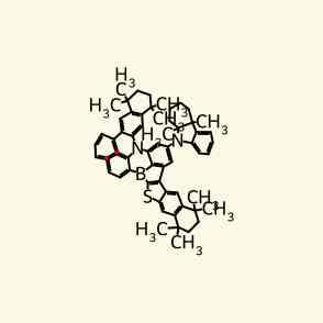 CC1(C)CCC(C)(C)c2cc(N3c4ccccc4B4c5sc6cc7c(cc6c5-c5cc(N6c8ccccc8C8(C)CCCCC68C)cc3c54)C(C)(C)CCC7(C)C)c(-c3ccccc3)cc21